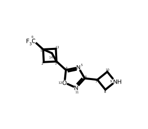 FC(F)(F)C12CC(c3nc(C4CNC4)no3)(C1)C2